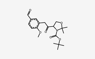 COc1ccc(C=O)cc1CC(=O)C1COC(C)(C)N1C(=O)OC(C)(C)C